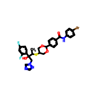 CC(SC1COC(c2ccc(C(=O)Nc3ccc(Br)cc3)cc2)OC1)C(O)(Cn1cncn1)c1ccc(F)cc1F